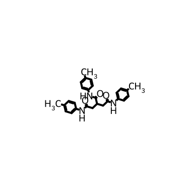 Cc1ccc(NC(=O)CC(CC(=O)Nc2ccc(C)cc2)C(=O)Nc2ccc(C)cc2)cc1